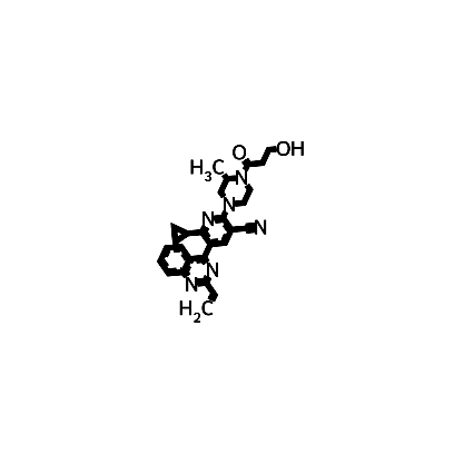 C=Cc1nc(-c2cc(C#N)c(N3CCN(C(=O)CCO)C(C)C3)nc2C2CC2)c2ccccc2n1